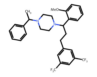 COc1ccccc1C([CH]Cc1cc(C(F)(F)F)cc(C(F)(F)F)c1)N1CCN(C(C)c2ccccc2)CC1